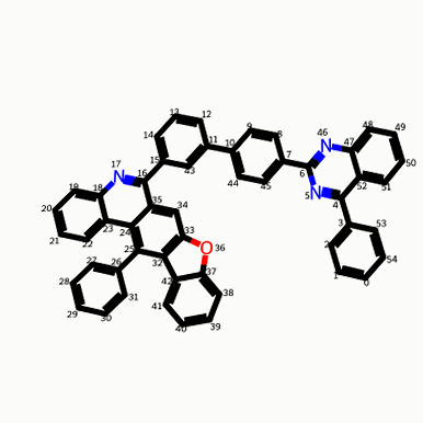 c1ccc(-c2nc(-c3ccc(-c4cccc(-c5nc6ccccc6c6c(-c7ccccc7)c7c(cc56)oc5ccccc57)c4)cc3)nc3ccccc23)cc1